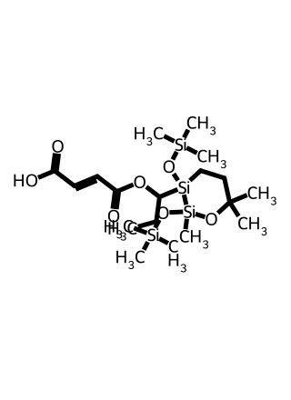 CCC(OC(=O)C=CC(=O)O)[Si]1(O[Si](C)(C)C)CCC(C)(C)O[Si]1(C)O[Si](C)(C)C